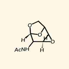 CC(=O)NC1[C@@H]2OCC(O2)[C@@H]2O[C@@H]12